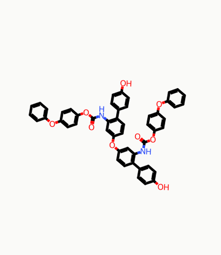 O=C(Nc1cc(Oc2ccc(-c3ccc(O)cc3)c(NC(=O)Oc3ccc(Oc4ccccc4)cc3)c2)ccc1-c1ccc(O)cc1)Oc1ccc(Oc2ccccc2)cc1